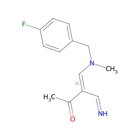 CC(=O)/C(C=N)=C/N(C)Cc1ccc(F)cc1